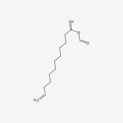 [CH]=C(CCCCCCCCCC=C)OC=O